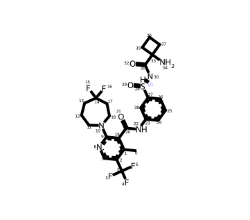 Cc1c(C(F)(F)F)cnc(N2CCCC(F)(F)CC2)c1C(=O)Nc1cccc(/[SH](=O)=N/C(=O)C2(N)CCC2)c1